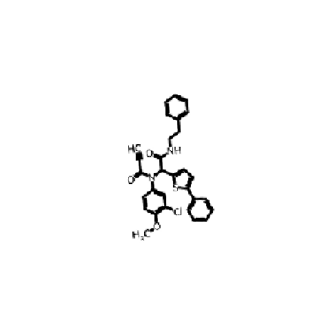 C#CC(=O)N(c1ccc(OC)c(Cl)c1)C(C(=O)NCCc1ccccc1)c1ccc(-c2ccccc2)s1